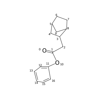 O=C(CC1CC2CCC1C2)Oc1ccccc1